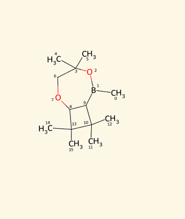 CB1OC(C)(C)COC2C1C(C)(C)C2(C)C